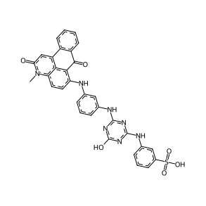 Cn1c(=O)cc2c3c(c(Nc4cccc(Nc5nc(O)nc(Nc6cccc(S(=O)(=O)O)c6)n5)c4)ccc31)C(=O)c1ccccc1-2